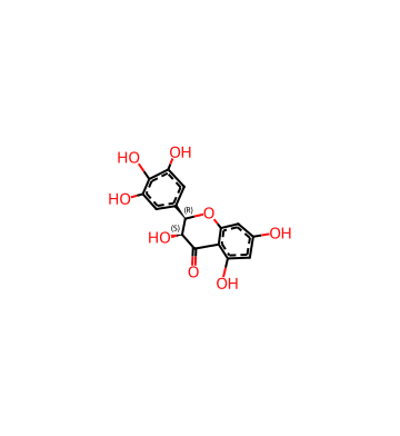 O=C1c2c(O)cc(O)cc2O[C@H](c2cc(O)c(O)c(O)c2)[C@@H]1O